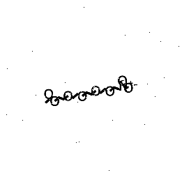 CC(=O)OCCOCCOCCOCCOCC[N+](=O)[O-]